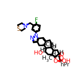 CCC[C@H]1O[C@@H]2C[C@H]3[C@@H]4CCC5=Cc6c(cnn6-c6ccc(F)c(CN7CCSCC7)c6)C[C@]5(C)[C@H]4[C@@H](O)C[C@]3(C)[C@]2(C(=O)CO)O1